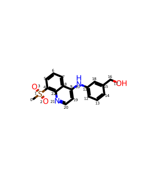 CS(=O)(=O)c1cccc2c(Nc3cccc(CO)c3)ccnc12